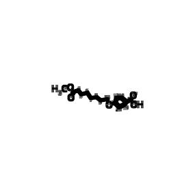 COC(=O)CCCCCCCOc1ccc(C(=O)O)cc1